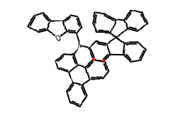 c1ccc2c(c1)-c1ccccc1C21c2ccccc2-c2ccc(N(c3cccc4c3oc3ccccc34)c3cccc4c5ccccc5c5ccccc5c34)cc21